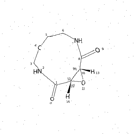 O=C1NCCCCNC(=O)[C@@H]2O[C@H]12